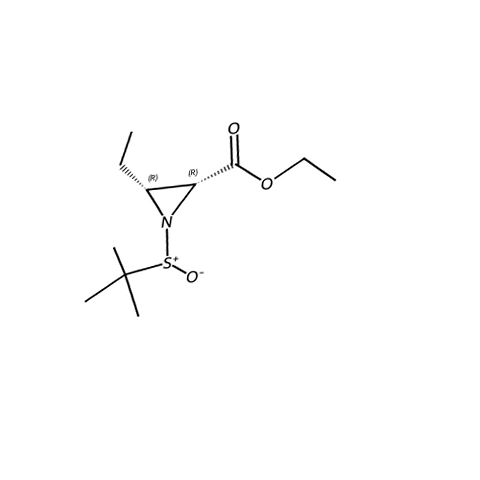 CCOC(=O)[C@H]1[C@@H](CC)N1[S+]([O-])C(C)(C)C